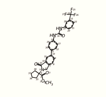 COC(=O)C1(N2Cc3ccc(-c4ccc(NC(=O)Nc5cccc(C(F)(F)F)c5)cc4)cc3C2=O)CCCC1